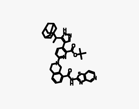 CC(c1[nH]ncc1-c1ccc(N2CCc3cccc(C(=O)Nc4nc5cnccc5s4)c3C2)nc1C(=O)OC(C)(C)C)C12CC3CC(CC(C3)C1)C2